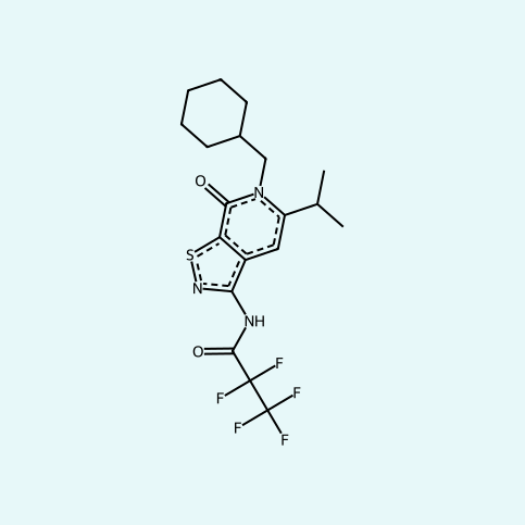 CC(C)c1cc2c(NC(=O)C(F)(F)C(F)(F)F)nsc2c(=O)n1CC1CCCCC1